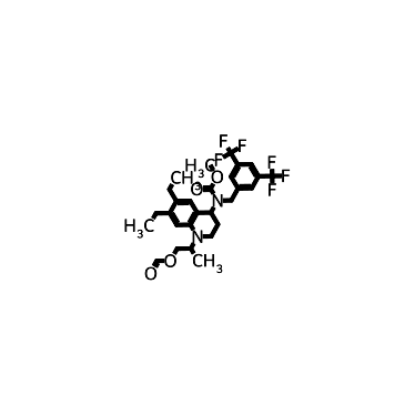 CCc1cc2c(cc1CC)N(C(C)COC=O)CCC2N(Cc1cc(C(F)(F)F)cc(C(F)(F)F)c1)C(=O)OC